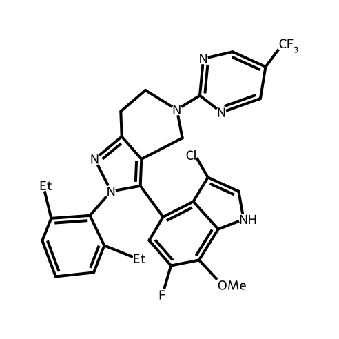 CCc1cccc(CC)c1-n1nc2c(c1-c1cc(F)c(OC)c3[nH]cc(Cl)c13)CN(c1ncc(C(F)(F)F)cn1)CC2